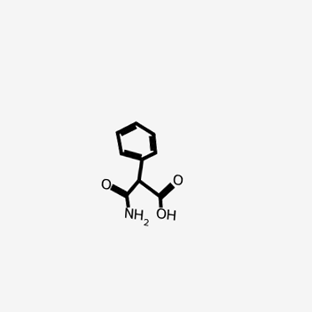 NC(=O)C(C(=O)O)c1ccccc1